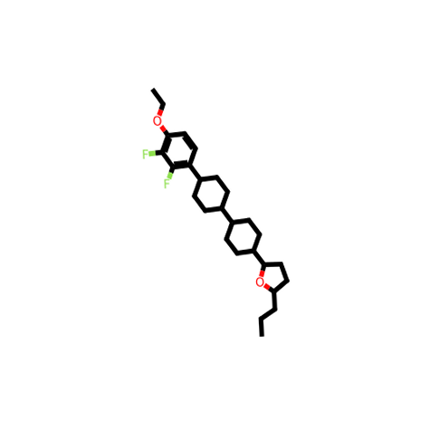 CCCC1CCC(C2CCC(C3CCC(c4ccc(OCC)c(F)c4F)CC3)CC2)O1